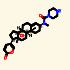 CN(C(=O)N1CCNCC1)[C@@H]1C=C2CC[C@@H]3[C@H](CC[C@]4(C)[C@@H](c5ccc(=O)oc5)CC[C@]34O)[C@@]2(C)CC1